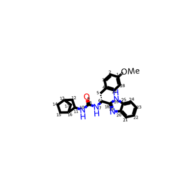 COc1ccc(C[C@@H](NC(=O)NC2CC3CCC2C3)c2nc3ccccc3[nH]2)cc1